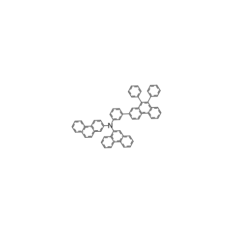 c1ccc(-c2c(-c3ccccc3)c3cc(-c4cccc(N(c5ccc6c(ccc7ccccc76)c5)c5cc6ccccc6c6ccccc56)c4)ccc3c3ccccc23)cc1